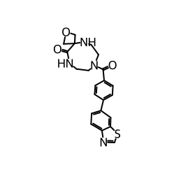 O=C(c1ccc(-c2ccc3ncsc3c2)cc1)N1CCNC(=O)C2(COC2)NCC1